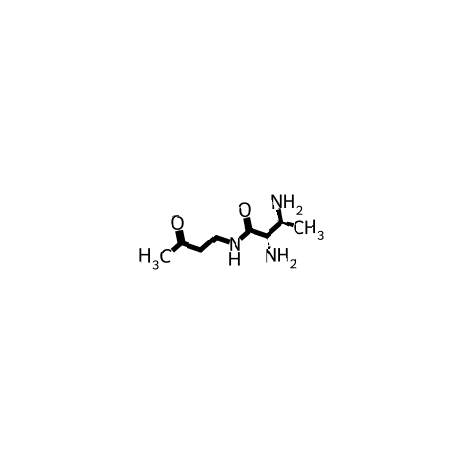 CC(=O)CCNC(=O)[C@@H](N)[C@H](C)N